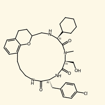 CN1C(=O)[C@H](C2CCCCC2)NCC2CCc3cccc(c3O2)CCCNC(=O)[C@@H](Cc2ccc(Cl)cc2)NC(=O)[C@@H]1CO